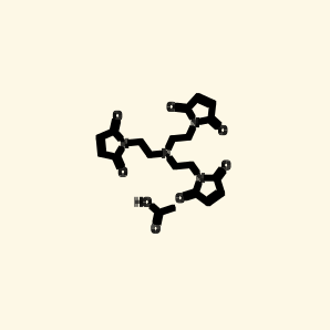 CC(=O)O.O=C1C=CC(=O)N1CCN(CCN1C(=O)C=CC1=O)CCN1C(=O)C=CC1=O